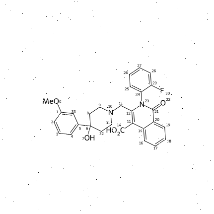 COc1cccc(C2(O)CCN(Cc3c(C(=O)O)c4ccccc4c(=O)n3-c3ccccc3F)CC2)c1